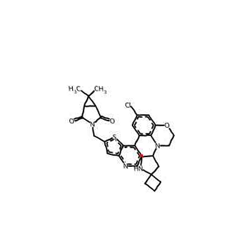 CC1(C)C2C(=O)N(Cc3cc4nccc(-c5cc(Cl)cc6c5N(C5CNC7(CCC7)C5)CCO6)c4s3)C(=O)C21